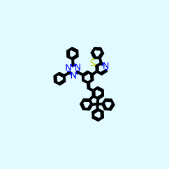 C1=C(c2nc(-c3ccccc3)nc(-c3ccccc3)n2)C/C(=C/c2cccc3c2-c2ccccc2C3(c2ccccc2)c2ccccc2)C=C1c1ccnc2c1sc1ccccc12